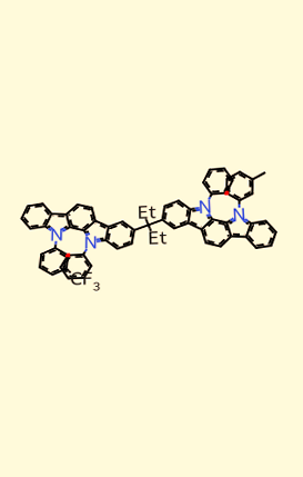 CCC(CC)(c1ccc2c(c1)c1ccc3c4ccccc4n(-c4cccc(C)c4)c3c1n2-c1ccccc1)c1ccc2c(c1)c1ccc3c4ccccc4n(-c4cccc(C(F)(F)F)c4)c3c1n2-c1ccccc1